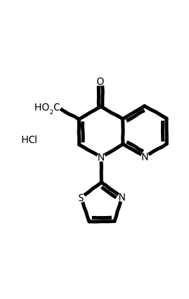 Cl.O=C(O)c1cn(-c2nccs2)c2ncccc2c1=O